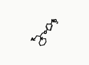 CC(=O)CC(COc1ccc([N+](=O)[O-])cc1)N1CCCCC1